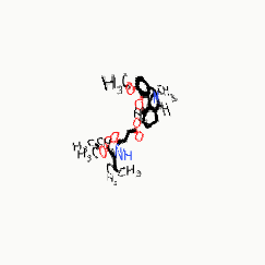 COc1ccc2c3c1O[C@H]1[C@@H](OC(=O)CCC(=O)N[C@H](C(=O)OC(C)(C)C)C(C)C)CCC4[C@@H](C2)N(C)CC[C@@]341